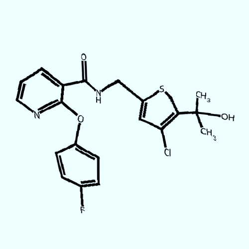 CC(C)(O)c1sc(CNC(=O)c2cccnc2Oc2ccc(F)cc2)cc1Cl